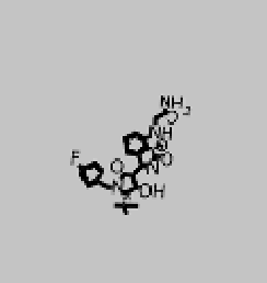 CC(C)(C)[C@H]1C(O)=C(C2=NS(=O)(=O)c3c(NCC(N)=O)cccc32)C(=O)N1Cc1ccc(F)cc1